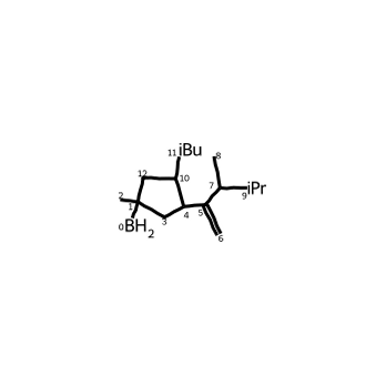 BC1(C)CC(C(=C)C(C)C(C)C)C(C(C)CC)C1